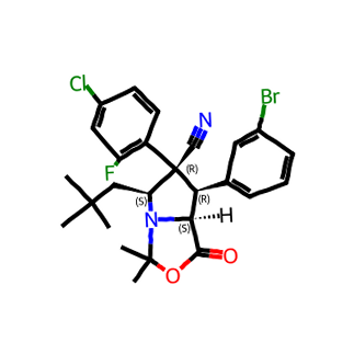 CC(C)(C)C[C@@H]1N2[C@H](C(=O)OC2(C)C)[C@H](c2cccc(Br)c2)[C@@]1(C#N)c1ccc(Cl)cc1F